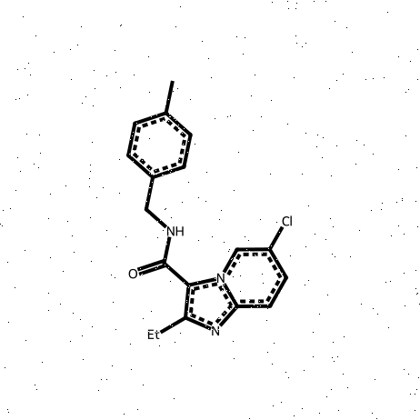 CCc1nc2ccc(Cl)cn2c1C(=O)NCc1ccc(C)cc1